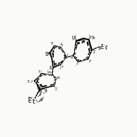 CCc1ccc(-c2cccc(-c3ccc(CC)cc3)c2)cc1